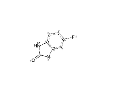 O=C1[N]c2cc(F)ccc2N1